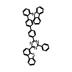 c1ccc(-c2nc(-c3ccc(-c4ccc(-c5ccccc5-n5c6ccccc6c6ccccc65)cc4)cc3)nc(-c3cccc4c3sc3ccccc34)n2)cc1